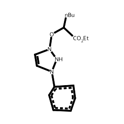 CCCCC(ON1C=CN(c2ccccc2)N1)C(=O)OCC